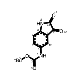 CC(C)(C)OC(=O)Nc1ccc2c(c1)C(=O)C(=O)N2